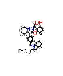 CCOC(=O)c1cc2ccccc2n1Cc1ccc(C(C(=O)NC(CO)c2ccccc2)C2CCCCCC2)cc1